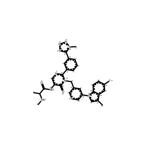 CNC(C)C(=O)Nc1cnc(-c2cccc(-c3nnnn3C)c2)n(Cc2cncc(-n3cc(C)c4cc(F)ccc43)c2)c1=O